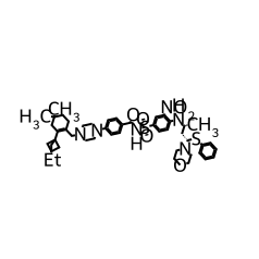 CCC12CC(C3=C(CN4CCN(c5ccc(C(=O)NS(=O)(=O)c6ccc(N[C@H](C)C[C@H](Sc7ccccc7)N7CCOCC7)c([N+](=O)[O-])c6)cc5)CC4)CCC(C)(C)C3)(C1)C2